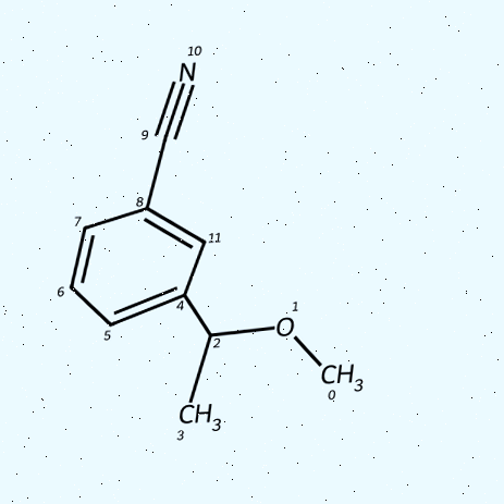 COC(C)c1cccc(C#N)c1